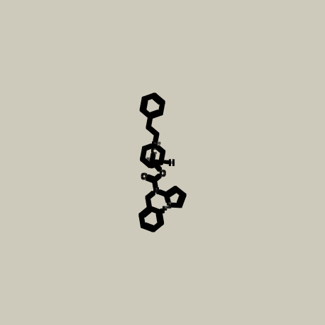 O=C(O[C@H]1C[N+]2(CCc3ccccc3)CCC1CC2)N(Cc1ccccc1F)c1cccs1